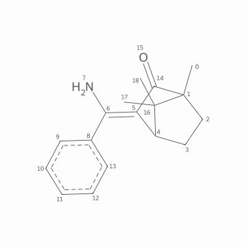 CC12CCC(C(=C(N)c3ccccc3)C1=O)C2(C)C